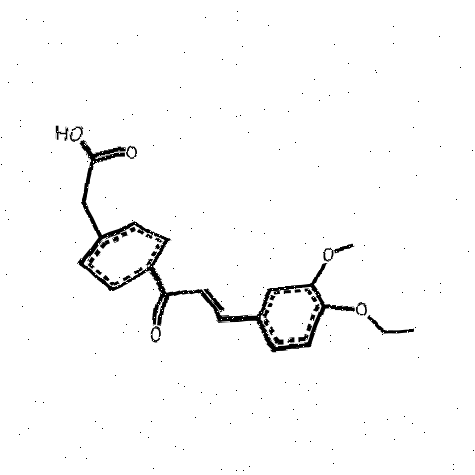 CCOc1ccc(C=CC(=O)c2ccc(CC(=O)O)cc2)cc1OC